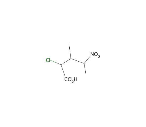 CC(C(Cl)C(=O)O)C(C)[N+](=O)[O-]